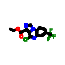 CCOC(=O)c1ncn2c1c(Cl)nc1cc(C(F)(F)F)ccc12